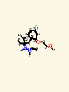 C=CN(C)N(C)C(CC)(Cc1ccc(F)cc1OCCOC)C(C)C